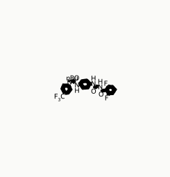 CCCCN(C(=O)Nc1ccc(NC(=O)NC(=O)c2c(F)cccc2F)cc1)c1ccc(C(F)(F)F)cc1